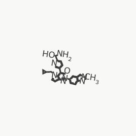 Cn1cc2cc(-n3nc4ccn(CC5CC5)c4c(-c4ccc(C(N)O)nc4)c3=O)ccc2n1